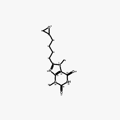 Cn1c(CCCCC2CO2)nc2c1c(=O)[nH]c(=O)n2C